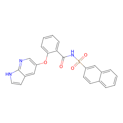 O=C(NS(=O)(=O)c1ccc2ccccc2c1)c1ccccc1Oc1cnc2[nH]ccc2c1